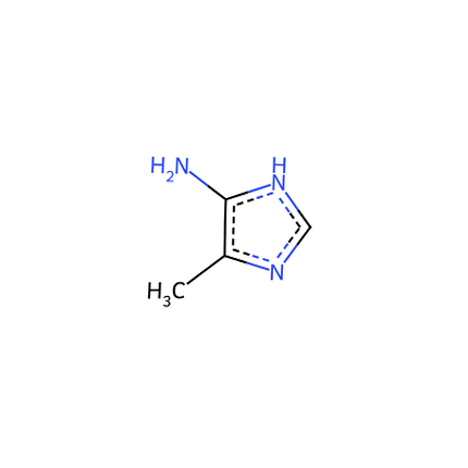 Cc1nc[nH]c1N